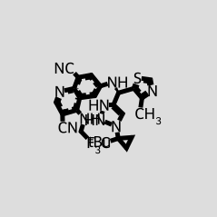 Cc1ncsc1[C@H](Nc1cc(C#N)c2ncc(C#N)c(NCC(C)(C)C)c2c1)C1=CN(C2(C(F)(F)F)CC2)NN1